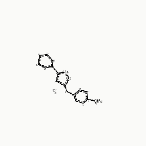 COc1ccc(Cc2cc(-c3ccccc3)[se][o+]2)cc1.[Cl-]